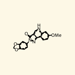 COc1ccc2c3nn(-c4ccc5c(c4)OCO5)c(=O)c-3c[nH]c2c1